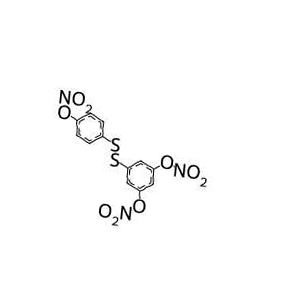 O=[N+]([O-])Oc1ccc(SSc2cc(O[N+](=O)[O-])cc(O[N+](=O)[O-])c2)cc1